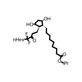 CCCCCCC(F)(F)C(=O)CC[C@@H]1[C@@H](CCCCCCCCC(=O)OC(C)C)[C@@H](O)C[C@H]1O